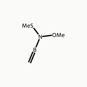 C=BN(OC)SC